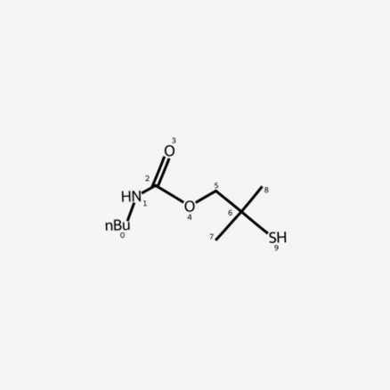 CCCCNC(=O)OCC(C)(C)S